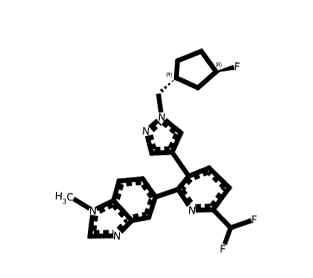 Cn1cnc2cc(-c3nc(C(F)F)ccc3-c3cnn(C[C@@H]4CC[C@@H](F)C4)c3)ccc21